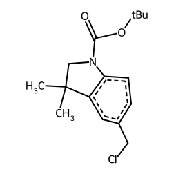 CC(C)(C)OC(=O)N1CC(C)(C)c2cc(CCl)ccc21